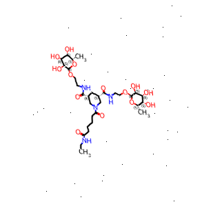 CCNC(=O)CCCCC(=O)N1C[C@H](C(=O)NCCO[C@@H]2O[C@@H](C)[C@@H](O)[C@@H](O)[C@@H]2O)C[C@H](C(=O)NCCO[C@@H]2O[C@@H](C)[C@@H](O)[C@@H](O)[C@@H]2O)C1